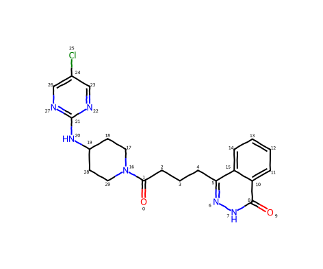 O=C(CCCc1n[nH]c(=O)c2ccccc12)N1CCC(Nc2ncc(Cl)cn2)CC1